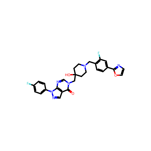 O=c1c2cnn(-c3ccc(F)cc3)c2ncn1CC1(O)CCN(Cc2ccc(-c3ncco3)cc2F)CC1